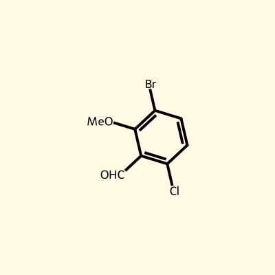 COc1c(Br)ccc(Cl)c1C=O